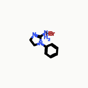 Br.NC1=NCCN1c1ccccc1